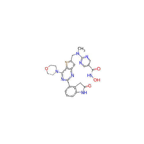 CN(Cc1cc2nc(-c3cccc4c3CC(=O)N4)nc(N3CCOCC3)c2s1)c1ncc(C(=O)NO)cn1